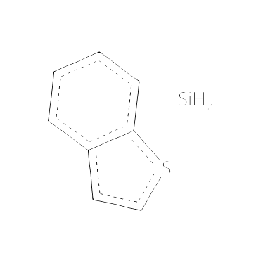 [SiH4].c1ccc2sccc2c1